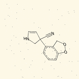 N#CC1(c2cccc3c2COO3)C=CNC1